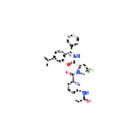 CC(C)c1ccc([C@@H](NC(=O)[C@@H]2C[C@@H](F)CN2C(=O)c2ccc3c(n2)NC(=O)CC3)c2ccccc2)cc1